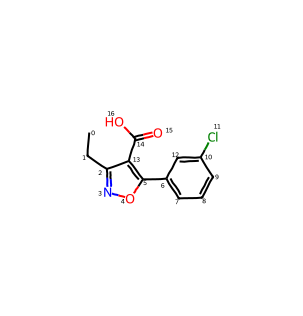 CCc1noc(-c2cccc(Cl)c2)c1C(=O)O